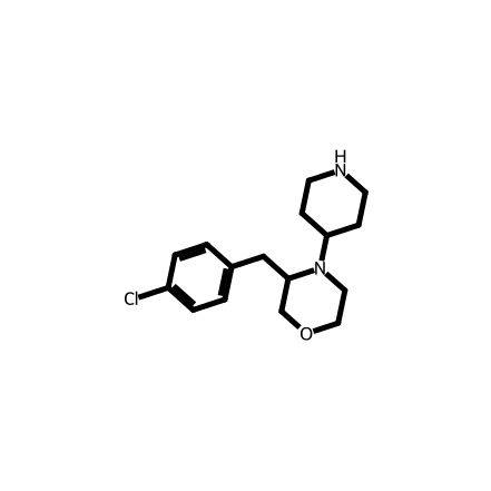 Clc1ccc(CC2COCCN2C2CCNCC2)cc1